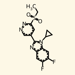 CCS(=O)(=O)c1cc(-c2nc3cc(F)c(F)cc3n2C2CC2)cnn1